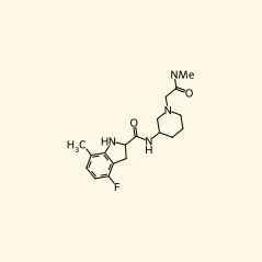 CNC(=O)CN1CCCC(NC(=O)C2Cc3c(F)ccc(C)c3N2)C1